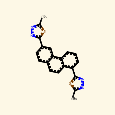 CCCCc1nnc(-c2ccc3ccc4c(-c5nnc(CCCC)s5)cccc4c3c2)s1